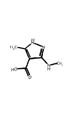 CNc1n[nH]c(C)c1C(=O)O